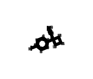 N#CC1(c2ccc(I)cc2)CCC1